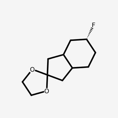 F[C@@H]1CCC2CC3(CC2C1)OCCO3